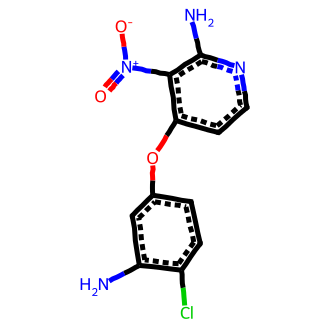 Nc1cc(Oc2ccnc(N)c2[N+](=O)[O-])ccc1Cl